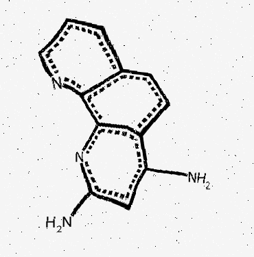 Nc1cc(N)c2ccc3cccnc3c2n1